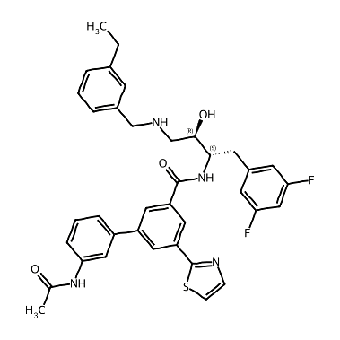 CCc1cccc(CNC[C@@H](O)[C@H](Cc2cc(F)cc(F)c2)NC(=O)c2cc(-c3cccc(NC(C)=O)c3)cc(-c3nccs3)c2)c1